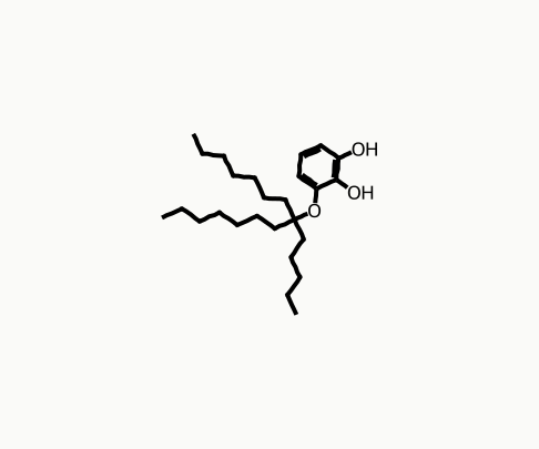 CCCCCCCC(CCCCC)(CCCCCCC)Oc1cccc(O)c1O